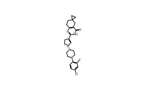 O=c1[nH]c(C2=C[C@H](N3CCN(c4ccc(Cl)cc4F)CC3)CC2)nc2c1CC1(CC2)CC1